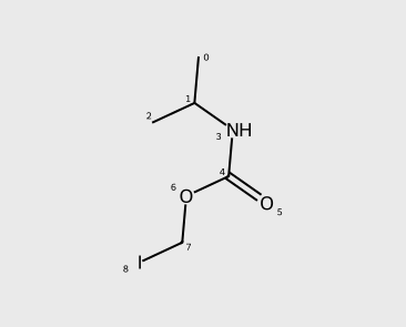 CC(C)NC(=O)OCI